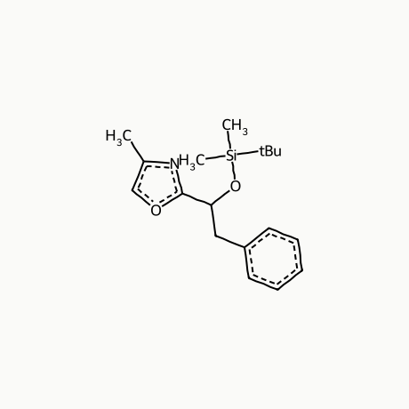 Cc1coc(C(Cc2ccccc2)O[Si](C)(C)C(C)(C)C)n1